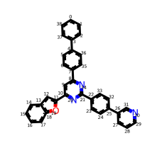 c1ccc(-c2ccc(-c3cc(-c4cc5ccccc5o4)nc(-c4ccc(-c5cccnc5)cc4)n3)cc2)cc1